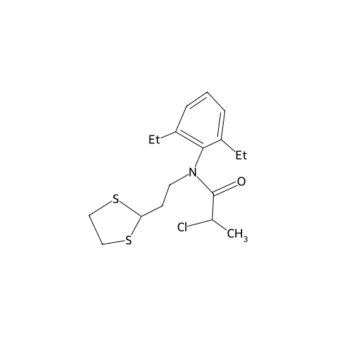 CCc1cccc(CC)c1N(CCC1SCCS1)C(=O)C(C)Cl